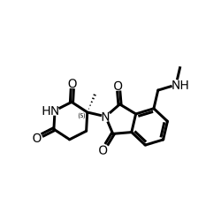 CNCc1cccc2c1C(=O)N([C@@]1(C)CCC(=O)NC1=O)C2=O